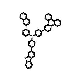 c1cc(-c2ccc3ccccc3c2)cc(N(c2ccc(-c3ccc4c(c3)sc3ccccc34)cc2)c2ccc(-c3ccc4c5ccccc5c5ccccc5c4c3)cc2)c1